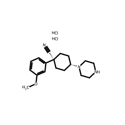 COc1cccc([C@]2(C#N)CC[C@@H](N3CCNCC3)CC2)c1.Cl.Cl